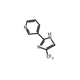 FC(F)(F)c1c[nH]c(-c2cccnc2)n1